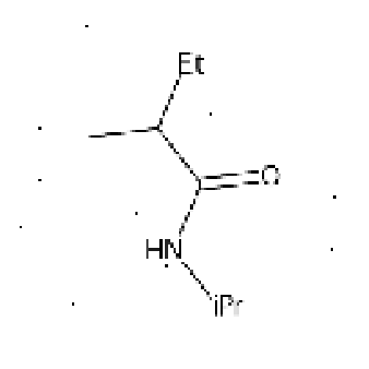 CCC(C)C(=O)NC(C)C